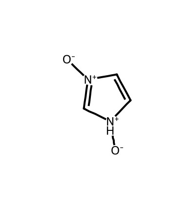 [O-][N+]1=C[NH+]([O-])C=C1